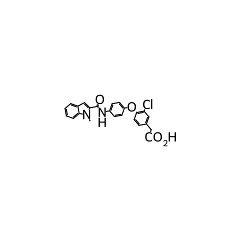 Cn1c(C(=O)Nc2ccc(Oc3ccc(CC(=O)O)cc3Cl)cc2)cc2ccccc21